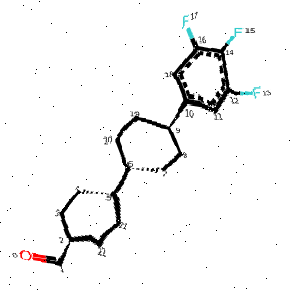 O=C[C@H]1CC[C@H]([C@H]2CC[C@H](c3cc(F)c(F)c(F)c3)CC2)CC1